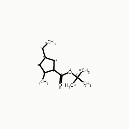 CCC1CC(C)C(C(=O)OC(C)(C)C)C1